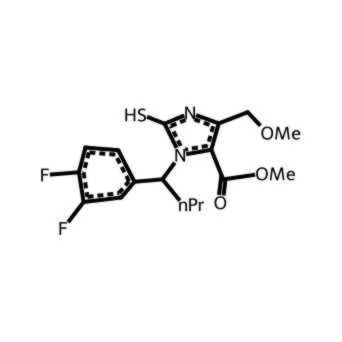 CCCC(c1ccc(F)c(F)c1)n1c(S)nc(COC)c1C(=O)OC